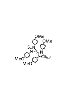 COc1ccc(N2CCN(c3ccc(OC)cc3)C2=S)cc1.COc1ccc(N2CCN(c3ccc(OC)cc3)C2=S)cc1.[Au+].[Cl-]